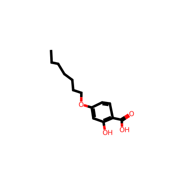 CCCCCCCOc1ccc(C(=O)O)c(O)c1